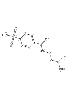 CCCCN(CC)CCNC(=O)c1ccc(S(N)(=O)=O)cc1